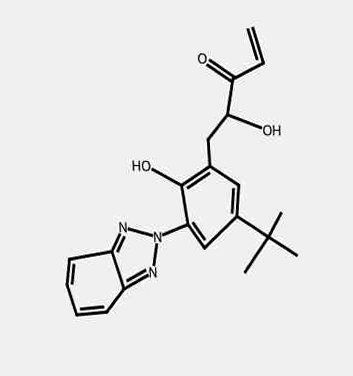 C=CC(=O)C(O)Cc1cc(C(C)(C)C)cc(-n2nc3ccccc3n2)c1O